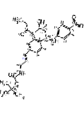 CCC(=O)N1c2cc(/C=C/CNC(=O)OC(C)(C)C)ccc2[C@H](Nc2ccc([N+](=O)[O-])cc2)C[C@@H]1C